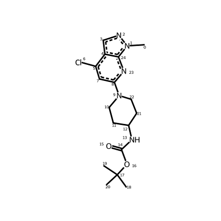 Cn1ncc2c(Cl)cc(N3CCC(NC(=O)OC(C)(C)C)CC3)nc21